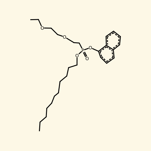 CCCCCCCCCCCOP(=O)(CCOCCOCC)Oc1cccc2ccccc12